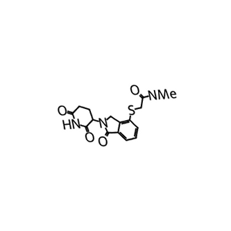 CNC(=O)CSc1cccc2c1CN(C1CCC(=O)NC1=O)C2=O